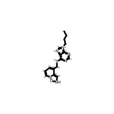 CCCCn1cnc2c(SCC3=CC=CN4ONC=C34)ncnc21